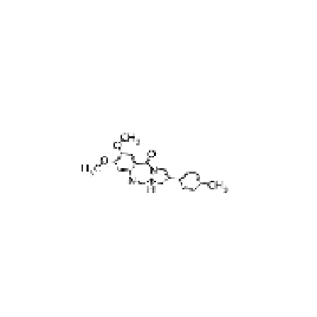 COc1cc2c(cc1OC)C(=O)N1C=C(c3ccc(C)cc3)C[C@H]1C=N2